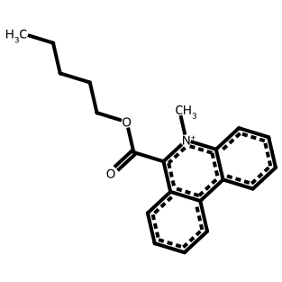 CCCCCOC(=O)c1c2ccccc2c2ccccc2[n+]1C